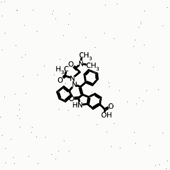 CC(=O)N(CC(=O)N(C)C)N(/C(=C1\C(=O)Nc2cc(C(=O)O)ccc21)c1ccccc1)c1ccccc1